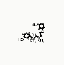 CN(CCOc1cccc(C(C)(C)C)c1)CCC(C)(C)c1cccc(O)c1